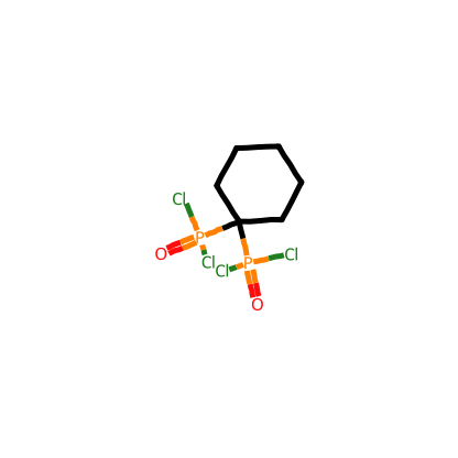 O=P(Cl)(Cl)C1(P(=O)(Cl)Cl)CCCCC1